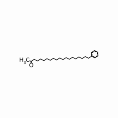 CC(=O)CCCCCCCCCCCCCCCCCCc1ccccc1